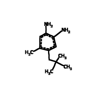 Cc1cc(N)c(N)cc1CC(C)(C)C